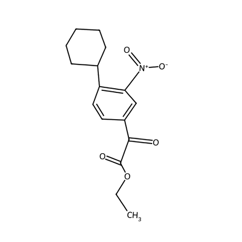 CCOC(=O)C(=O)c1ccc(C2CCCCC2)c([N+](=O)[O-])c1